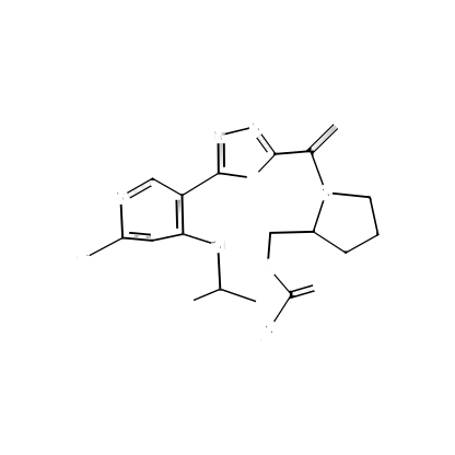 CC(C)Nc1cc(Cl)ncc1-c1nnc(C(=O)N2CCCC2COC(N)=O)s1